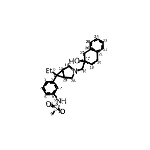 CCC1(c2cccc(NS(C)(=O)=O)c2)C2CN(CC3(O)CCc4ccccc4C3)CC21